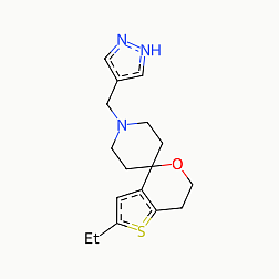 CCc1cc2c(s1)CCOC21CCN(Cc2cn[nH]c2)CC1